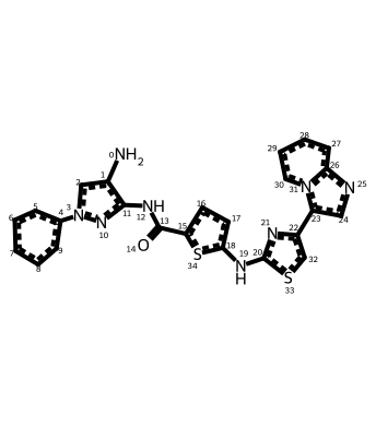 Nc1cn(-c2ccccc2)nc1NC(=O)c1ccc(Nc2nc(-c3cnc4ccccn34)cs2)s1